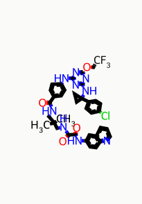 CC(C)(CNC(=O)C(=O)Nc1ccc2ncccc2c1)CNC(=O)c1ccc(Nc2nc(NC3(c4ccc(Cl)cc4)CC3)nc(OCC(F)(F)F)n2)cc1